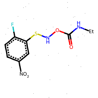 CCNC(=O)ONSc1cc([N+](=O)[O-])ccc1F